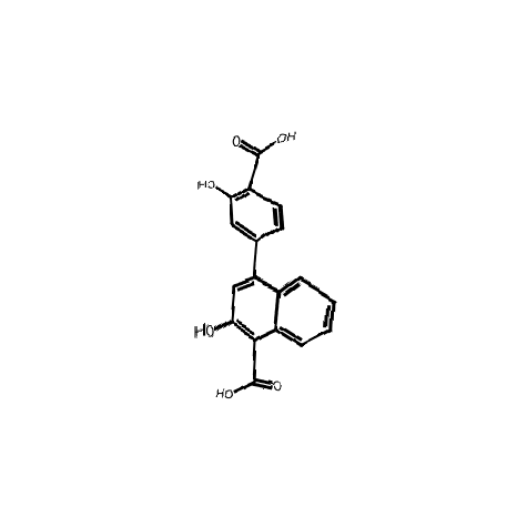 O=C(O)c1ccc(-c2cc(O)c(C(=O)O)c3ccccc23)cc1O